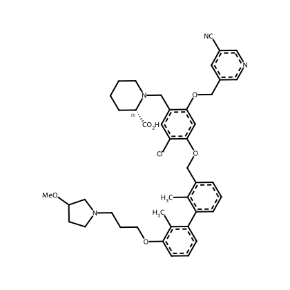 COC1CCN(CCCOc2cccc(-c3cccc(COc4cc(OCc5cncc(C#N)c5)c(CN5CCCC[C@H]5C(=O)O)cc4Cl)c3C)c2C)C1